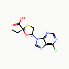 CC[C@]1(C(=O)O)O[C@H](n2cnc3c(Cl)ncnc32)CS1